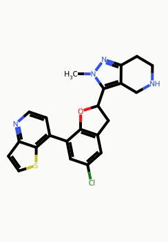 Cn1nc2c(c1C1Cc3cc(Cl)cc(-c4ccnc5ccsc45)c3O1)CNCC2